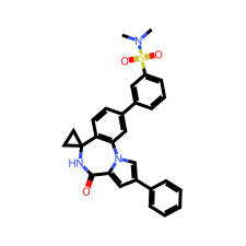 CN(C)S(=O)(=O)c1cccc(-c2ccc3c(c2)-n2cc(-c4ccccc4)cc2C(=O)NC32CC2)c1